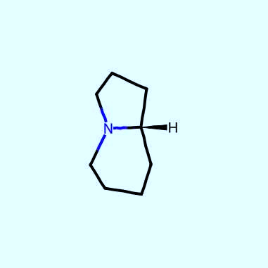 C1CCN2CCC[C@@H]2C1